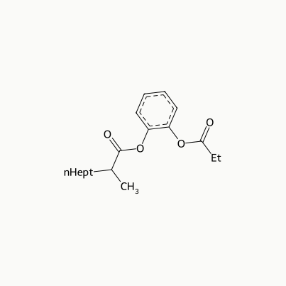 CCCCCCCC(C)C(=O)Oc1ccccc1OC(=O)CC